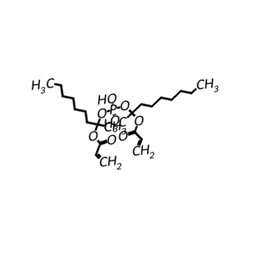 C=CC(=O)OC(C)(CCCCCCC)OP(=O)(O)OC(C)(CCCCCCC)OC(=O)C=C